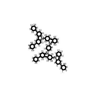 c1ccc(-c2ccc3c(c2)c2ccccc2n3-c2ccc3c4cc(-c5ccccc5)ccc4n(-c4ccc(-n5c6ccccc6c6ccc(-n7c8ccc(-c9ccccc9)cc8c8cc(-c9ccccc9)ccc87)cc65)cc4)c3c2)cc1